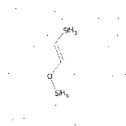 [SiH3]C=CO[SiH3]